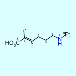 CCNCCC/C=C(\C)C(=O)O